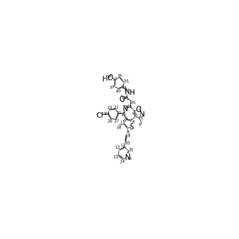 Cc1noc2c1-c1sc(C#Cc3cccnc3)c(C)c1C(c1ccc(Cl)cc1)=N[C@H]2CC(=O)Nc1ccc(O)cc1